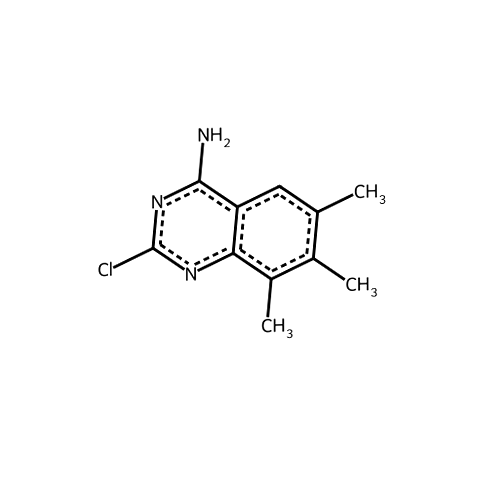 Cc1cc2c(N)nc(Cl)nc2c(C)c1C